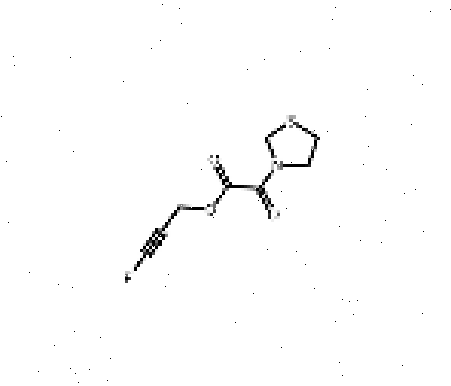 O=C(OCC#CF)C(=O)N1CCSC1